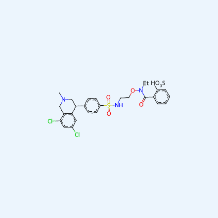 CCN(OCCNS(=O)(=O)c1ccc(C2CN(C)Cc3c(Cl)cc(Cl)cc32)cc1)C(=O)c1ccccc1S(=O)(=O)O